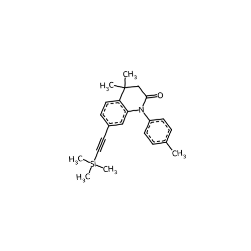 Cc1ccc(N2C(=O)CC(C)(C)c3ccc(C#C[Si](C)(C)C)cc32)cc1